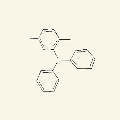 Fc1ccc(F)c([SH](c2ccccc2)c2ccccc2)c1